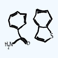 NC(=O)c1ccccc1.c1ccc2sccc2c1